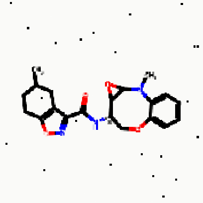 CC1CCc2onc(C(=O)N[C@H]3COc4ccccc4N(C)C4OC43)c2C1